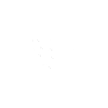 C=CCSc1nc2c(C(N)=O)nc(-c3ccc(OCC)cc3)nc2n1C(N)CCC